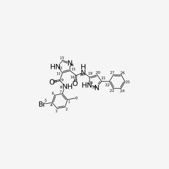 Cc1ccc(Br)cc1NC(=O)c1[nH]cnc1C(=O)Nc1cc(-c2ccccc2)n[nH]1